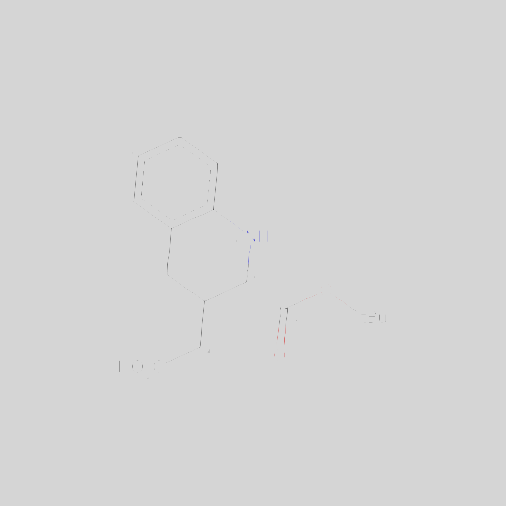 CC(C)(C)OC(=O)[C@H]1Nc2ccccc2CC1CC(=O)O